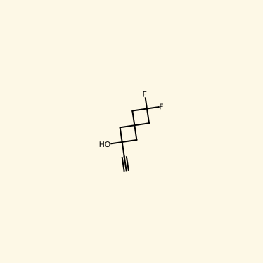 C#CC1(O)CC2(CC(F)(F)C2)C1